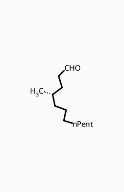 CCCCCCCC[C@H](C)CCC=O